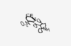 O=C1CCNC(=O)C1C(=O)c1ccc(C(F)(F)F)cc1[N+](=O)[O-]